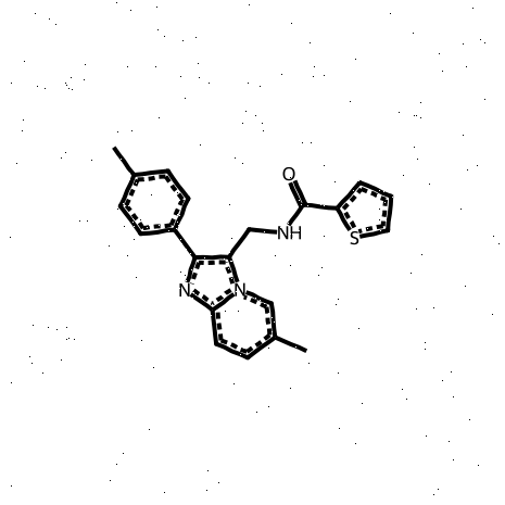 Cc1ccc(-c2nc3ccc(C)cn3c2CNC(=O)c2cccs2)cc1